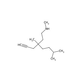 C#CCC(C)(CCNC)CCC(C)C